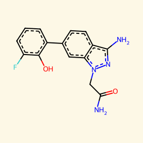 NC(=O)Cn1nc(N)c2ccc(-c3cccc(F)c3O)cc21